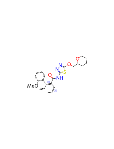 C=C/C(=C(\C=C/C)C(=O)Nc1nnc(OCC2CCCCO2)s1)c1ccccc1OC